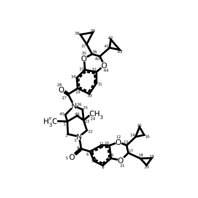 CC12CN(C(=O)c3ccc4c(c3)OC(C3CC3)C(C3CC3)O4)CC(C)(CN(C(=O)c3ccc4c(c3)OC(C3CC3)C(C3CC3)O4)C1)C2